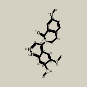 COc1ccc2c(c1)C(=O)N(c1cnnc3cc(OC)c(OC)cc13)CC2